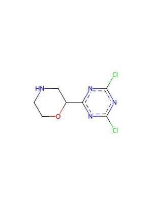 Clc1nc(Cl)nc(C2CNCCO2)n1